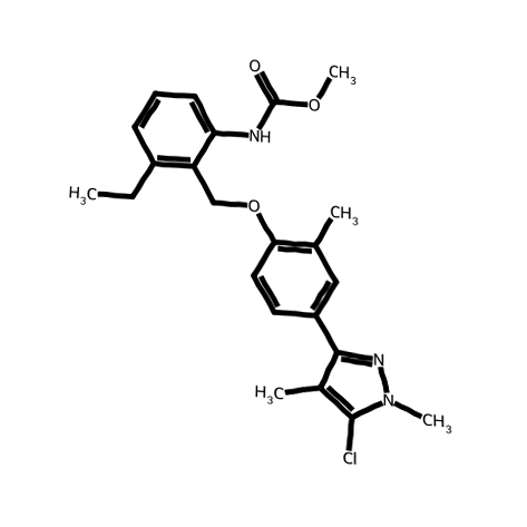 CCc1cccc(NC(=O)OC)c1COc1ccc(-c2nn(C)c(Cl)c2C)cc1C